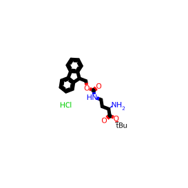 CC(C)(C)OC(=O)[C@@H](N)CCNC(=O)OCC1c2ccccc2-c2ccccc21.Cl